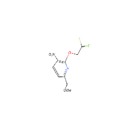 COCc1ccc([N+](=O)[O-])c(OCC(F)F)n1